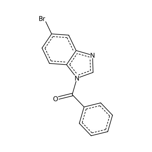 O=C(c1ccccc1)n1cnc2cc(Br)ccc21